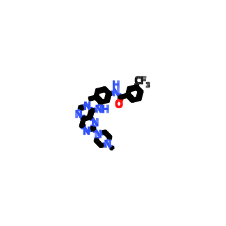 Cc1ccc(NC(=O)c2cccc(C(F)(F)F)c2)cc1Nc1ncnc2cnc(N3CCN(C)CC3)nc12